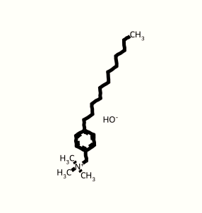 CCCCCCCCCCCCc1ccc(C[N+](C)(C)C)cc1.[OH-]